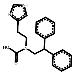 O=C(O)N(CCc1c[nH]cn1)CC(c1ccccc1)c1ccccc1